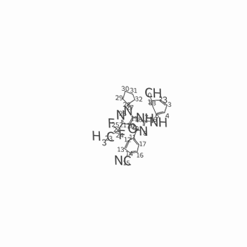 Cc1cccc(N/C(=N/C(=O)c2ccc(C#N)cc2)Nc2cc(C(C)(F)F)nn2C2CCCC2)c1